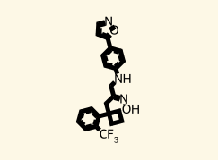 ON=C(CNc1ccc(-c2ccno2)cc1)CC1(c2ccccc2C(F)(F)F)CCC1